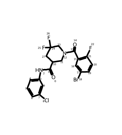 O=C(Nc1cccc(Cl)c1)C1CN(C(=O)c2cc(Br)ccc2F)CC(F)(F)C1